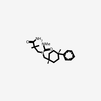 CNC(=O)N(CC(C)(C)C(N)=O)C[C@]1(C)CC[C@](C)(c2ccccc2)CC1